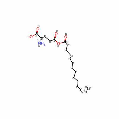 CCCCCCCCCCCC(=O)OC(=O)CC[C@H](N)C(=O)[O-].[Li+]